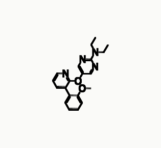 CCN(CC)c1ncc(Oc2ncccc2-c2ccccc2OC)cn1